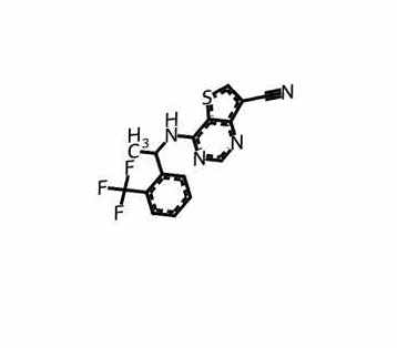 CC(Nc1ncnc2c(C#N)csc12)c1ccccc1C(F)(F)F